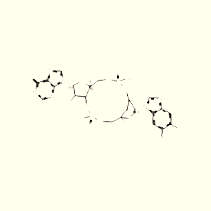 O=c1[nH]cnc2c1ncn2[C@@H]1O[C@@H]2COP(=O)(S)OC3C(O)[C@@H](COP(=O)(S)OC2C1F)O[C@H]3n1cnc2cc(Cl)c(Cl)cc21